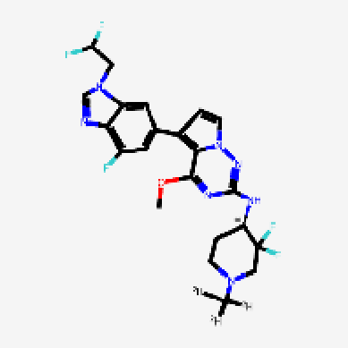 [2H]C([2H])([2H])N1CC[C@@H](Nc2nc(OC)c3c(-c4cc(F)c5ncn(CC(F)F)c5c4)ccn3n2)C(F)(F)C1